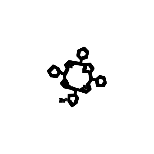 C1=Cc2nc1c(-c1ccccc1)c1ccc([nH]1)c(-c1ccccc1)c1nc(c(-c3ccccc3)c3ccc([nH]3)c2-c2ccccc2)C=C1.[Zn+2]